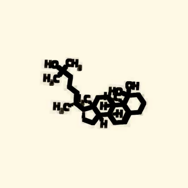 C[C@H](CCCC(C)(C)O)[C@H]1CC[C@H]2[C@@H]3CC=C4CCCC(O)(O)[C@]4(C)[C@H]3CC[C@]12C